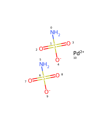 NS(=O)(=O)[O-].NS(=O)(=O)[O-].[Pd+2]